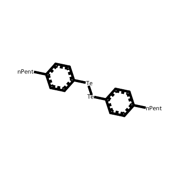 CCCCCc1ccc([Te][Te]c2ccc(CCCCC)cc2)cc1